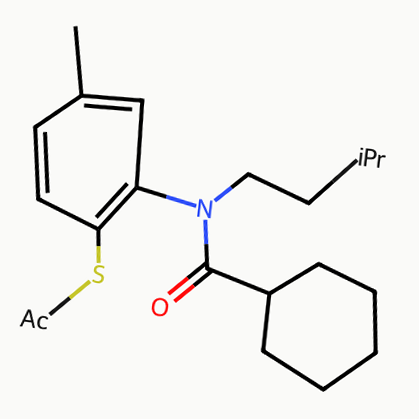 CC(=O)Sc1ccc(C)cc1N(CCC(C)C)C(=O)C1CCCCC1